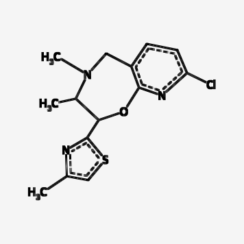 Cc1csc(C2Oc3nc(Cl)ccc3CN(C)C2C)n1